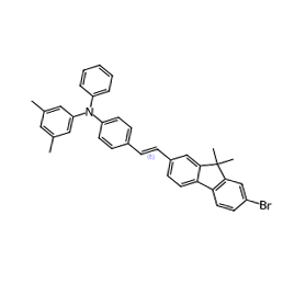 Cc1cc(C)cc(N(c2ccccc2)c2ccc(/C=C/c3ccc4c(c3)C(C)(C)c3cc(Br)ccc3-4)cc2)c1